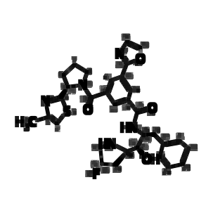 Cc1csc([C@H]2CCCN2C(=O)c2cc(C(=O)N[C@@H](Cc3ccccc3)[C@@H](O)[C@H]3C[C@H](F)CN3)cc(-c3ncco3)c2)n1